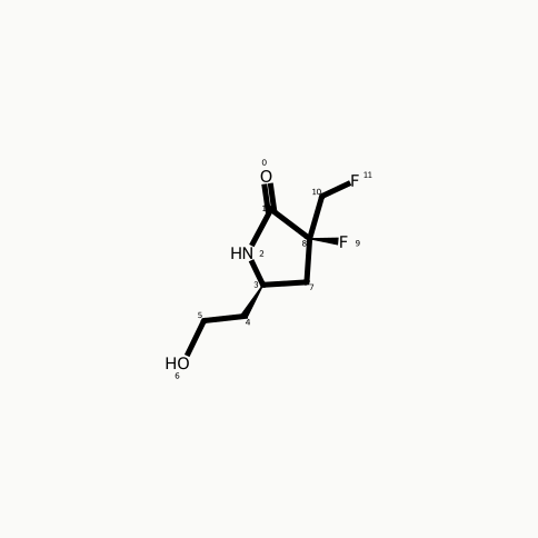 O=C1N[C@H](CCO)C[C@@]1(F)CF